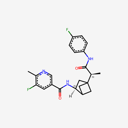 Cc1ncc(C(=O)N[C@H]2CC3([C@H](C)C(=O)Nc4ccc(F)cc4)CC2C3)cc1F